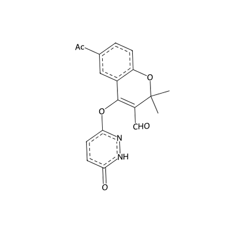 CC(=O)c1ccc2c(c1)C(Oc1ccc(=O)[nH]n1)=C(C=O)C(C)(C)O2